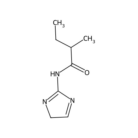 CCC(C)C(=O)NC1=NCC=N1